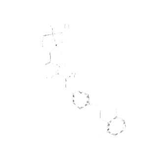 CC1(C(=O)O)CCC(C(=O)NC(=O)[C@@H](N)Cc2ccc(OCc3c(Cl)cccc3Cl)cc2)C1(C)C